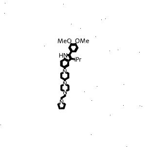 COc1ccc(-c2[nH]c3ccc(N4CCC(N5CCN(CCN6CCCC6)CC5)CC4)cc3c2C(C)C)cc1OC